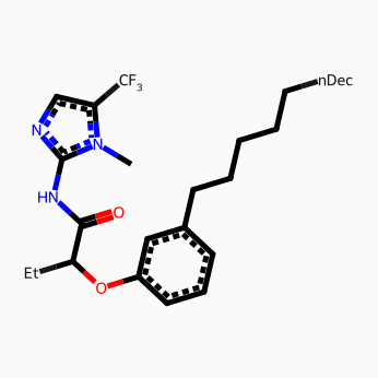 CCCCCCCCCCCCCCCc1cccc(OC(CC)C(=O)Nc2ncc(C(F)(F)F)n2C)c1